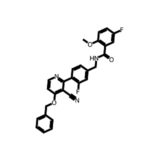 COc1ccc(F)cc1C(=O)NCc1ccc(-c2nccc(OCc3ccccc3)c2C#N)c(F)c1